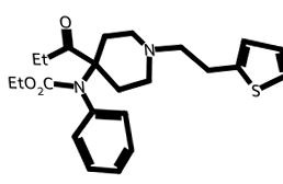 CCOC(=O)N(c1ccccc1)C1(C(=O)CC)CCN(CCc2cccs2)CC1